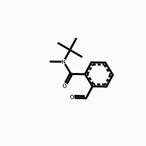 CN(C(=O)c1ccccc1C=O)C(C)(C)C